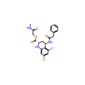 CNC(=O)COC(=O)[C@@H]1C[C@@H](NC(=O)Cc2ccccc2)c2c(Cl)cc(Cl)cc2N1